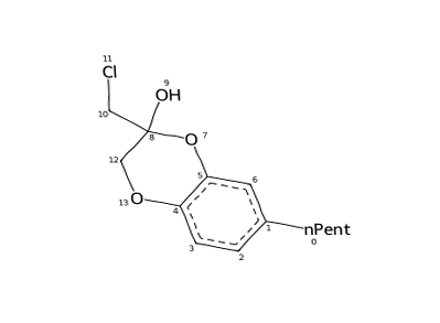 CCCCCc1ccc2c(c1)OC(O)(CCl)CO2